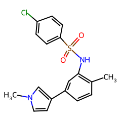 Cc1ccc(-c2ccn(C)c2)cc1NS(=O)(=O)c1ccc(Cl)cc1